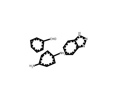 Nc1ccc(N)cc1.O=Cc1ccccc1.c1ccc2[nH]nnc2c1